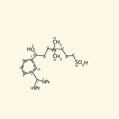 CCCC(CCC)c1cccc(C(O)CC[N+](C)(C)CCCS(=O)(=O)O)c1